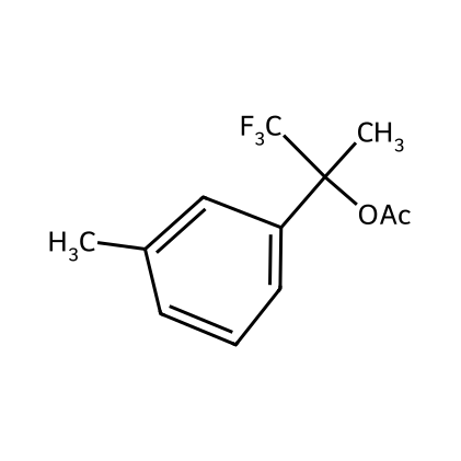 CC(=O)OC(C)(c1cccc(C)c1)C(F)(F)F